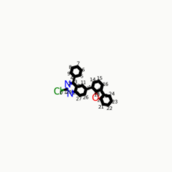 Clc1nc(-c2ccccc2)c2cc(-c3cccc4c3oc3ccccc34)ccc2n1